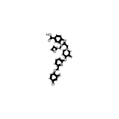 O=C(O)c1ccc2nc(CN3CCC(Oc4cccc(COc5ccc(Cl)cc5F)n4)C(F)C3)n(C[C@@H]3CCO3)c2c1